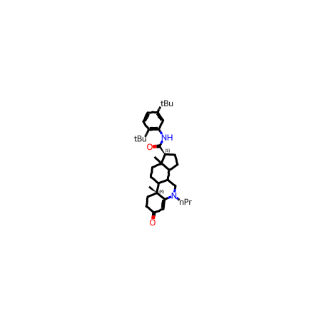 CCCN1CC2C3CC[C@H](C(=O)Nc4cc(C(C)(C)C)ccc4C(C)(C)C)C3(C)CCC2[C@@]2(C)CCC(=O)C=C12